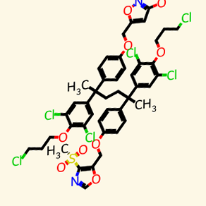 COc1cc(COc2ccc(C(C)(CCC(C)(c3ccc(OCc4ocnc4S(C)(=O)=O)cc3)c3cc(Cl)c(OCCCCl)c(Cl)c3)c3cc(Cl)c(OCCCCl)c(Cl)c3)cc2)on1